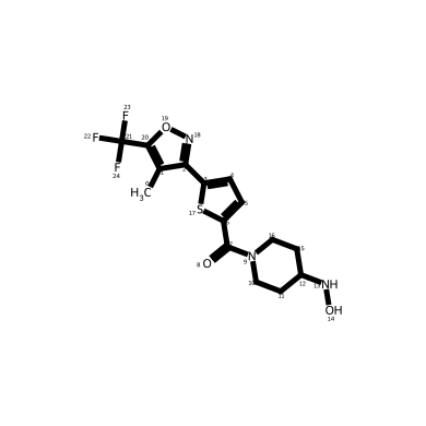 Cc1c(-c2ccc(C(=O)N3CCC(NO)CC3)s2)noc1C(F)(F)F